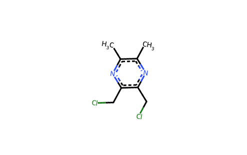 Cc1nc(CCl)c(CCl)nc1C